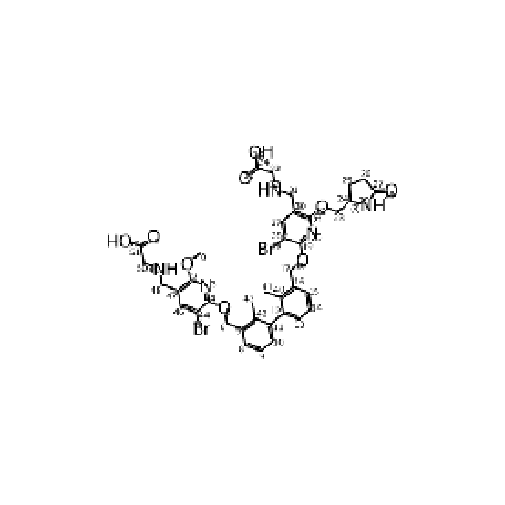 COc1nc(OCc2cccc(-c3cccc(COc4nc(OC[C@H]5CCC(=O)N5)c(CNCC(=O)O)cc4Br)c3C)c2C)c(Br)cc1CNCC(=O)O